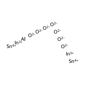 [Al].[In+3].[In+3].[O-2].[O-2].[O-2].[O-2].[O-2].[O-2].[O-2].[Sn+4].[Sn+4]